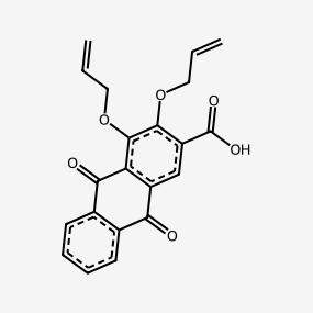 C=CCOc1c(C(=O)O)cc2c(c1OCC=C)C(=O)c1ccccc1C2=O